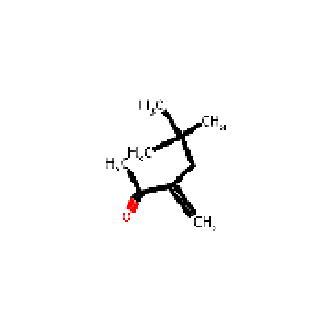 C=C(CC(C)(C)C)C(C)=O